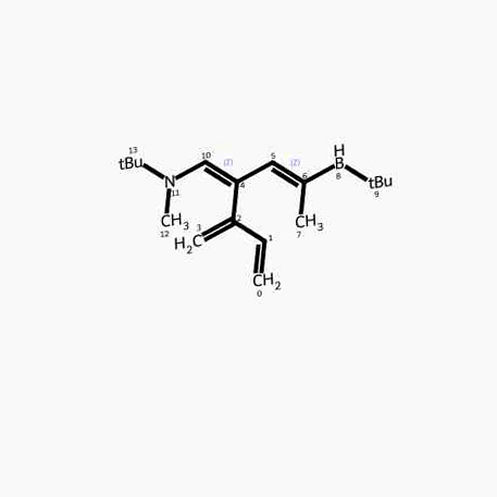 C=CC(=C)C(/C=C(\C)BC(C)(C)C)=C\N(C)C(C)(C)C